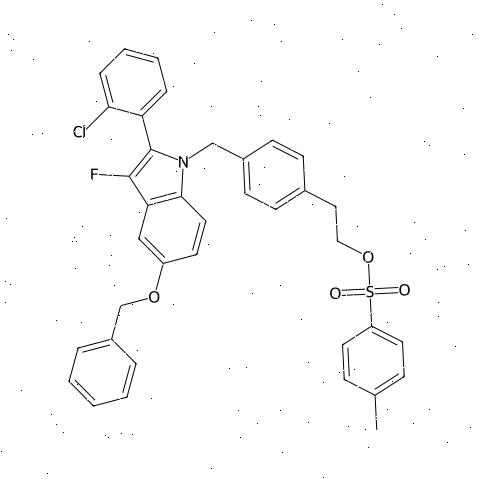 Cc1ccc(S(=O)(=O)OCCc2ccc(Cn3c(-c4ccccc4Cl)c(F)c4cc(OCc5ccccc5)ccc43)cc2)cc1